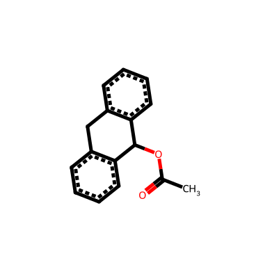 CC(=O)OC1c2ccccc2Cc2ccccc21